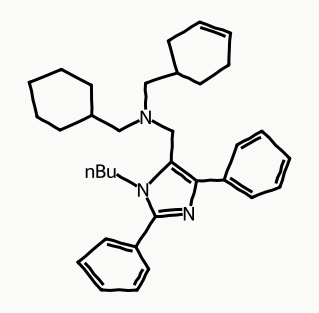 CCCCn1c(-c2ccccc2)nc(-c2ccccc2)c1CN(CC1CC=CCC1)CC1CCCCC1